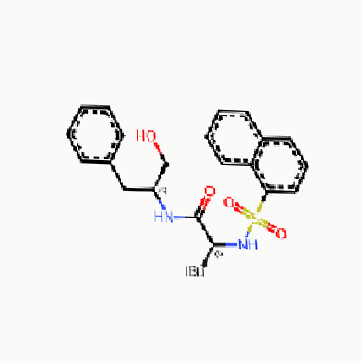 CCC(C)[C@H](NS(=O)(=O)c1cccc2ccccc12)C(=O)N[C@H](CO)Cc1ccccc1